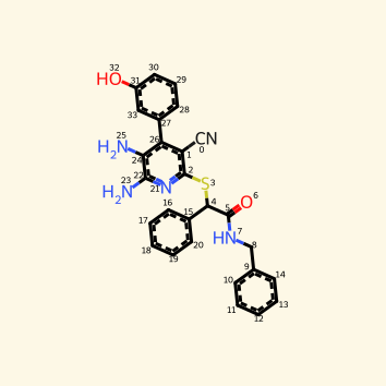 N#Cc1c(SC(C(=O)NCc2ccccc2)c2ccccc2)nc(N)c(N)c1-c1cccc(O)c1